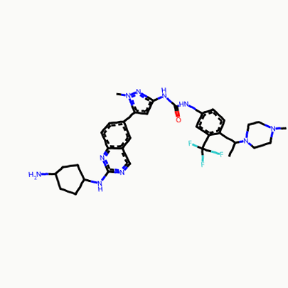 CC(c1ccc(NC(=O)Nc2cc(-c3ccc4nc(NC5CCC(N)CC5)ncc4c3)n(C)n2)cc1C(F)(F)F)N1CCN(C)CC1